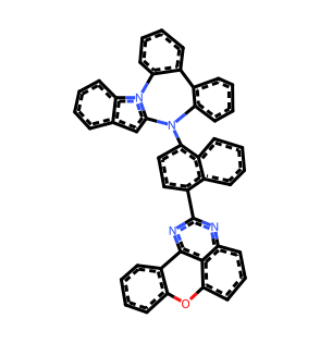 c1ccc2c(c1)Oc1cccc3nc(-c4ccc(N5c6ccccc6-c6ccccc6-n6c5cc5ccccc56)c5ccccc45)nc-2c13